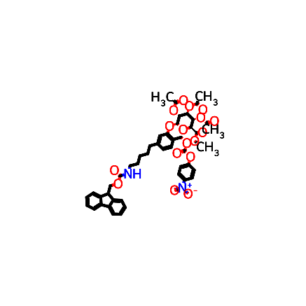 COC(=O)[C@H]1O[C@@H](Oc2cc(CCCCCNC(=O)OCC3c4ccccc4-c4ccccc43)ccc2COC(=O)Oc2ccc([N+](=O)[O-])cc2)[C@H](OC(C)=O)[C@@H](OC(C)=O)[C@@H]1OC(C)=O